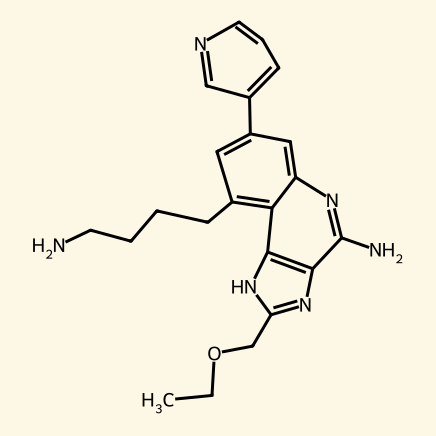 CCOCc1nc2c(N)nc3cc(-c4cccnc4)cc(CCCCN)c3c2[nH]1